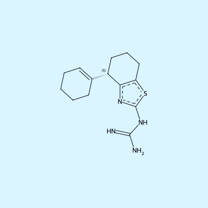 N=C(N)Nc1nc2c(s1)CCC[C@H]2C1=CCCCC1